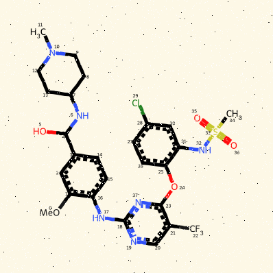 COc1cc(C(O)NC2CCN(C)CC2)ccc1Nc1ncc(C(F)(F)F)c(Oc2ccc(Cl)cc2NS(C)(=O)=O)n1